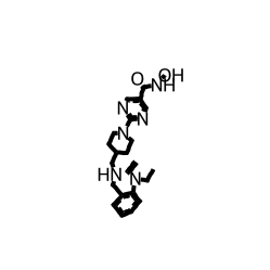 C=CN(CC)c1ccccc1CNCC1CCN(c2ncc(C(=O)NO)cn2)CC1